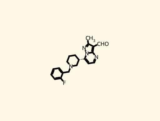 Cc1nn2c([C@H]3CCCN(Cc4ccccc4F)C3)ccnc2c1C=O